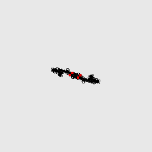 Cc1cc(CCC(=O)OCC(C)(C)C2(C)OCC3(CO2)COC(C)(C(C)(C)COC(=O)CCc2cc(C)c(OC(=O)OC(C)(C)C)c(C(C)(C)C)c2)OC3)cc(C(C)(C)C)c1OC(=O)OC(C)(C)C